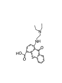 CCN(CC)CCNc1ccc(C(=O)O)c2sc3ccccc3c(=O)c12